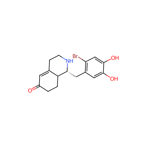 O=C1C=C2CCN[C@H](Cc3cc(O)c(O)cc3Br)C2CC1